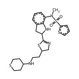 CN(c1cccc2c1NC(C1=NCC(CCNC3CCSCC3)S1)C2)S(=O)(=O)c1cccs1